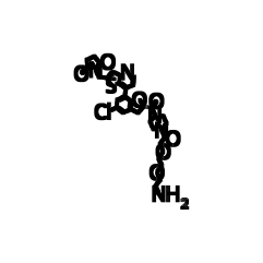 NCCOCCOCC(=O)N1CCN(C(=O)[C@H]2Cc3cc(Cl)cc(-c4ccnc5cc(CN6C(=O)CCC6=O)sc45)c3O2)CC1